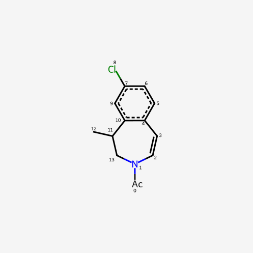 CC(=O)N1C=Cc2ccc(Cl)cc2C(C)C1